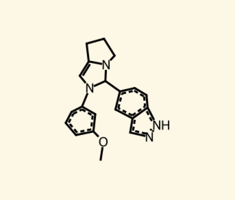 COc1cccc(N2C=C3CCCN3C2c2ccc3[nH]ncc3c2)c1